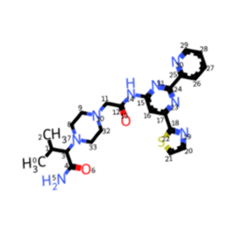 CC(C)C(C(N)=O)N1CCN(CC(=O)Nc2cc(-c3nccs3)nc(-c3ccccn3)n2)CC1